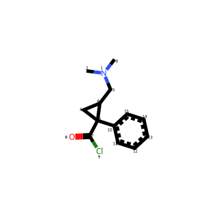 CN(C)CC1CC1(C(=O)Cl)c1ccccc1